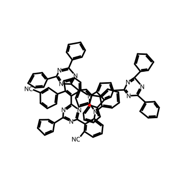 N#Cc1cccc(-c2cccc(-n3c4ccccc4c4cc(-c5nc(-c6ccccc6)nc(-c6ccccc6)n5)ccc43)c2-c2nc(-c3ccccc3)nc(-c3c(C#N)cccc3-n3c4ccccc4c4cc(-c5nc(-c6ccccc6)nc(-c6ccccc6)n5)ccc43)n2)c1